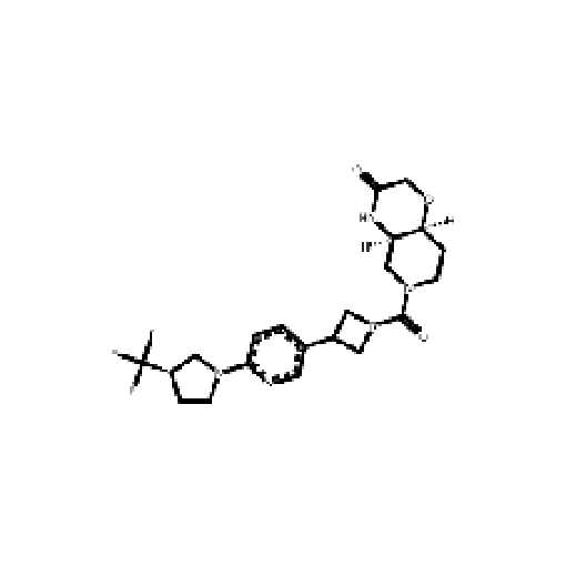 O=C1CO[C@H]2CCN(C(=O)N3CC(c4ccc(N5CC[C@@H](C(F)(F)F)C5)nc4)C3)C[C@H]2N1